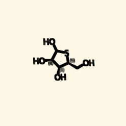 OC[C@@H]1SC(O)[C@H](O)[C@@H]1O